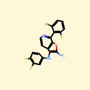 Nc1oc2c(-c3c(F)cccc3Cl)nccc2c1Nc1ccc(F)c(F)c1